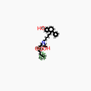 CC(C)(O)CN(CCCCCCC1=C(c2ccccc2)CCCc2cc(O)ccc21)CCCS(=O)(=O)CCCC(F)(F)C(F)(F)F